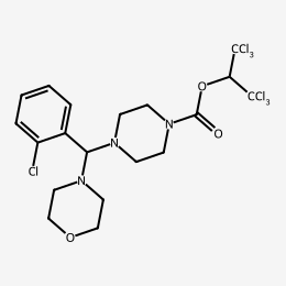 O=C(OC(C(Cl)(Cl)Cl)C(Cl)(Cl)Cl)N1CCN(C(c2ccccc2Cl)N2CCOCC2)CC1